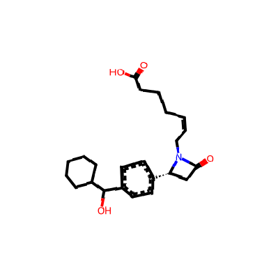 O=C(O)CCC/C=C\CN1C(=O)C[C@@H]1c1ccc(C(O)C2CCCCC2)cc1